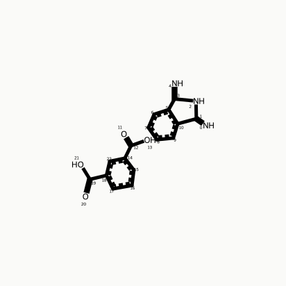 N=C1NC(=N)c2ccccc21.O=C(O)c1cccc(C(=O)O)c1